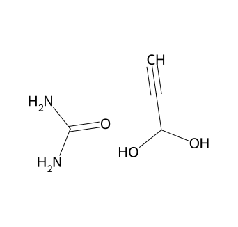 C#CC(O)O.NC(N)=O